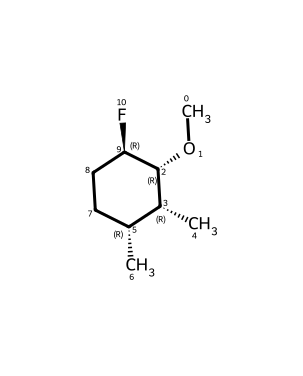 CO[C@@H]1[C@H](C)[C@H](C)CC[C@H]1F